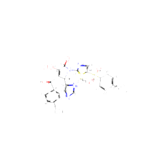 Cc1ccc(C(=O)C2=C(O)C(=O)N(c3ncc(S(=O)(=O)C4C=CC([N+](=O)[O-])=CC4)s3)C2c2cncn2C)cc1